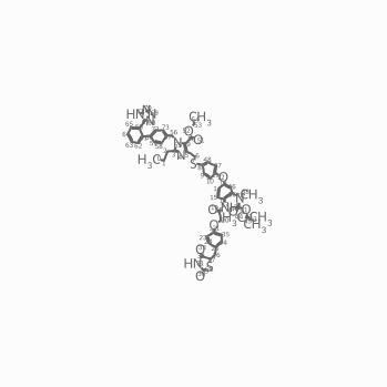 CCCc1nc(CSc2ccc(Oc3ccc(NC(=O)COc4ccc(CC5SC(=O)NC5=O)cc4)c(N(C)C(=O)OC(C)(C)C)c3)cc2)c(C(=O)OCC)n1Cc1ccc(-c2ccccc2-c2nnn[nH]2)cc1